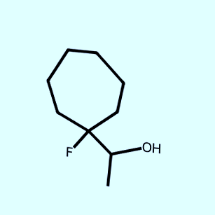 CC(O)C1(F)CCCCCC1